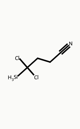 N#CCCC([SiH3])(Cl)Cl